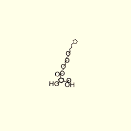 O=C(O)c1cc(O)cc(C(=O)OCCOCCOCCOCCCCC2CCCC2)c1